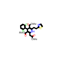 COC(=O)CC1=C(C(=O)OC)C(c2c(Cl)cccc2Cl)C(C(=O)OC)=C(CCc2nccs2)N1